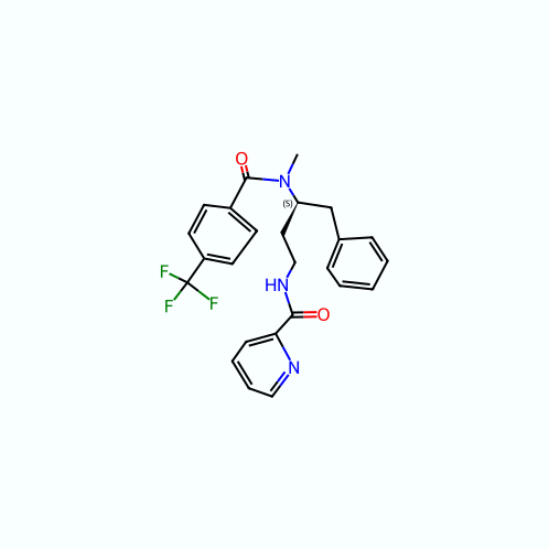 CN(C(=O)c1ccc(C(F)(F)F)cc1)[C@H](CCNC(=O)c1ccccn1)Cc1ccccc1